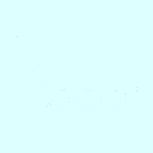 CCCCCCCc1ncc(-c2ccc(C3=NN(C)CC3)cc2)[nH]1